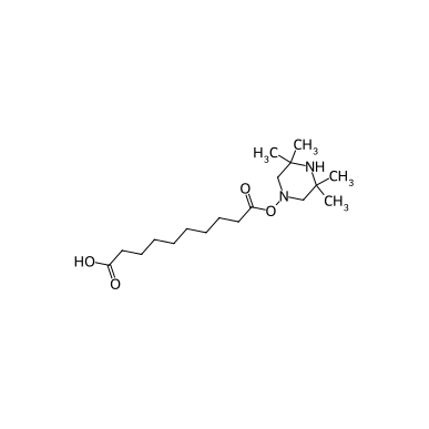 CC1(C)CN(OC(=O)CCCCCCCCC(=O)O)CC(C)(C)N1